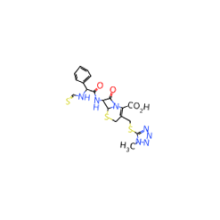 Cn1nnnc1SCC1=C(C(=O)O)N2C(=O)C(NC(=O)C(NC=S)c3ccccc3)C2SC1